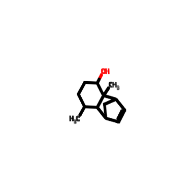 CC1CCC(O)C2(C)C3C=CC(C3)C12